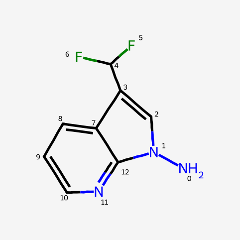 Nn1cc(C(F)F)c2cccnc21